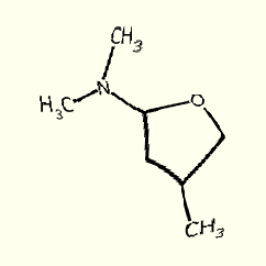 CC1COC(N(C)C)C1